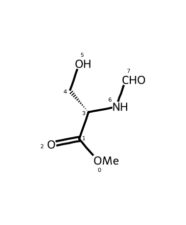 COC(=O)[C@H](CO)NC=O